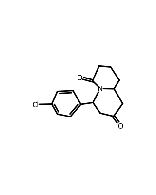 O=C1CC2CCCC(=O)N2C(c2ccc(Cl)cc2)C1